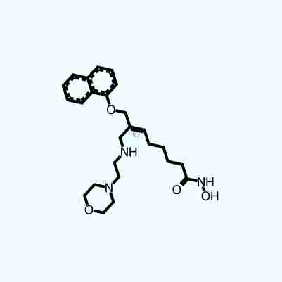 O=C(CCCC/C=C(\CNCCN1CCOCC1)COc1cccc2ccccc12)NO